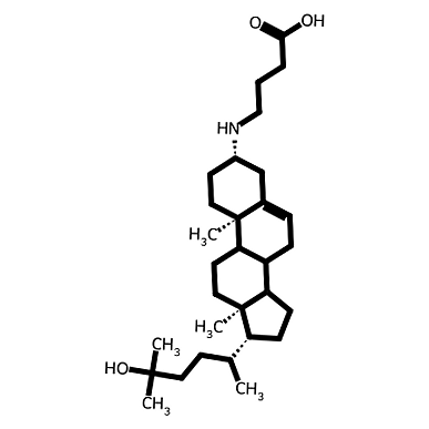 CC(CCC(C)(C)O)[C@H]1CCC2C3CC=C4C[C@@H](NCCCC(=O)O)CC[C@]4(C)C3CC[C@@]21C